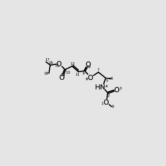 COC(=O)N[C@H](C)COC(=O)/C=C/C(=O)OC(C)C